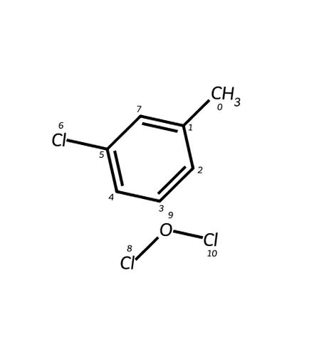 Cc1cccc(Cl)c1.ClOCl